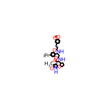 CC(C)c1ccc(C(CC(=O)NC(C(=O)[C@@H]2C(=O)NC(=O)[C@H]2C)C2CCCC2)NC(=O)/C=C/c2ccc3c(c2)OCO3)cc1